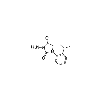 CC(C)c1ccccc1N1CC(=O)N(N)C1=O